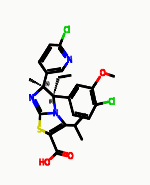 CC[C@]1(c2ccc(Cl)c(OC)c2)N2C(=N[C@@]1(C)c1ccc(Cl)nc1)SC(C(=O)O)=C2C(C)C